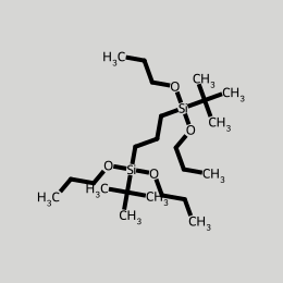 CCCO[Si](CCC[Si](OCCC)(OCCC)C(C)(C)C)(OCCC)C(C)(C)C